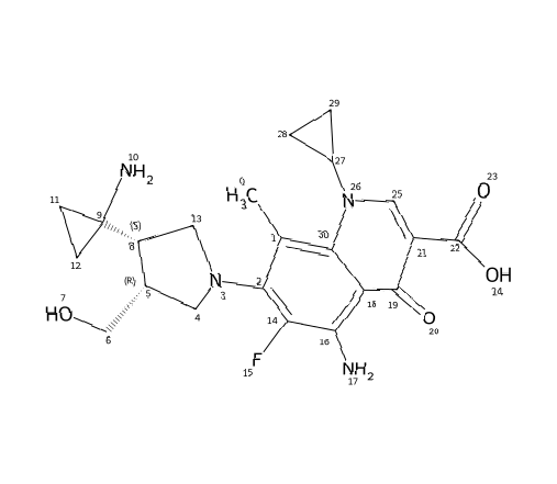 Cc1c(N2C[C@H](CO)[C@H](C3(N)CC3)C2)c(F)c(N)c2c(=O)c(C(=O)O)cn(C3CC3)c12